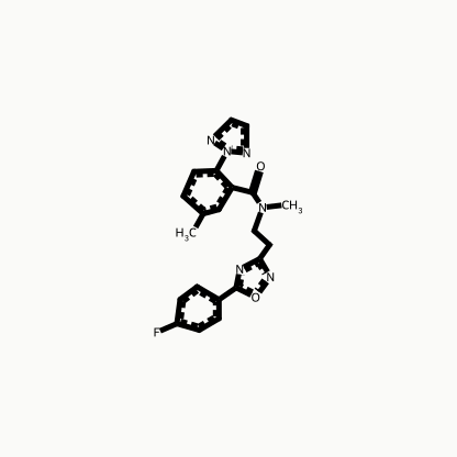 Cc1ccc(-n2nccn2)c(C(=O)N(C)CCc2noc(-c3ccc(F)cc3)n2)c1